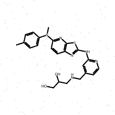 Cc1ccc(N(C)c2ccc3nc(Nc4cc(CNCC(O)CO)ccn4)sc3n2)cc1